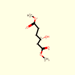 COC(=O)CC[C@H](O)CC(=O)OC